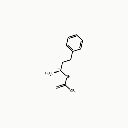 O=C(O)[C@@H](CCc1ccccc1)NC(=O)C(F)(F)F